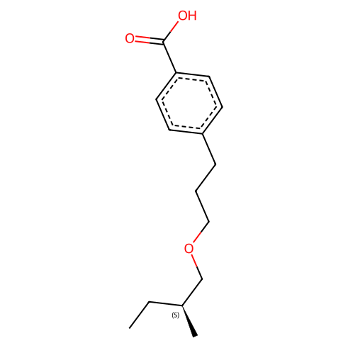 CC[C@H](C)COCCCc1ccc(C(=O)O)cc1